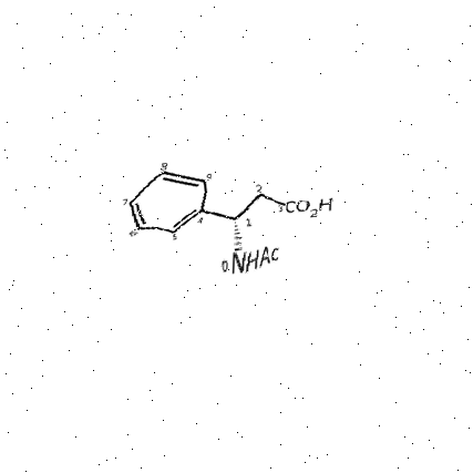 CC(=O)N[C@@H](CC(=O)O)c1ccccc1